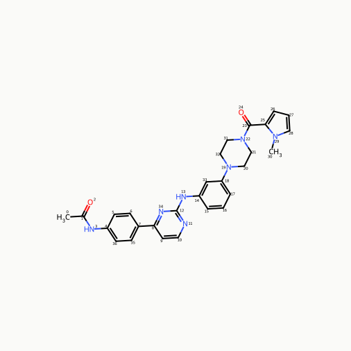 CC(=O)Nc1ccc(-c2ccnc(Nc3cccc(N4CCN(C(=O)c5cccn5C)CC4)c3)n2)cc1